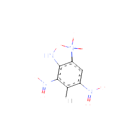 Cc1c([N+](=O)[O-])cc2c(c1[N+](=O)[O-])NO[N+]2([O-])[O-]